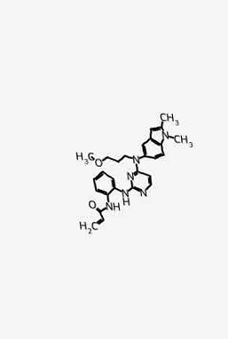 C=CC(=O)Nc1ccccc1Nc1nccc(N(CCCOC)c2ccc3c(c2)cc(C)n3C)n1